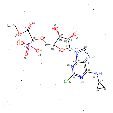 CCOC(=O)[C@H](OC[C@H]1O[C@@H](n2cnc3c(NC4CC4)nc(Cl)nc32)[C@H](O)[C@@H]1O)P(=O)(O)O